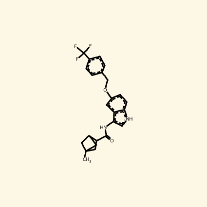 CC12CC(C1)C(C(=O)Nc1c[nH]c3ccc(OCc4ccc(C(F)(F)F)cc4)cc13)C2